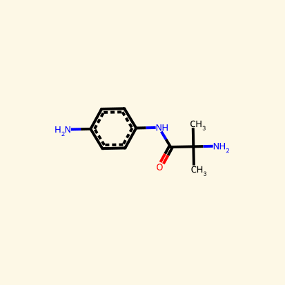 CC(C)(N)C(=O)Nc1ccc(N)cc1